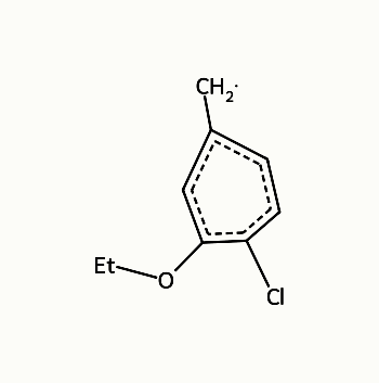 [CH2]c1ccc(Cl)c(OCC)c1